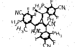 Cc1c(P)c(C#N)c(F)c(F)c1C(C#N)=C1C(=C(/C#N)c2c(C)c(I)c(C#N)c(F)c2P)/C1=C(/C#P)c1c(P)c(F)c(C#N)c(F)c1P